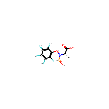 C[C@@H](C(=O)O)N(Oc1c(F)c(F)c(F)c(F)c1F)P=O